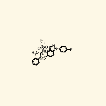 C[C@H](NS(C)(=O)=O)[C@@H](Sc1ccc2c(cnn2-c2ccc(F)cc2)c1)c1ccccc1